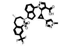 C[C@H]1Cc2ccc(C(F)(F)F)cc2S(=O)(=O)N([C@H]2CCc3c2cccc3-n2ncc(C(=O)O)c2[C@@H]2C[C@H]2c2cn(C)nn2)C1